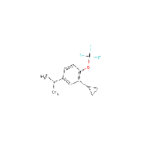 CC(C)c1ccc(OC(F)(F)F)c(C2CC2)c1